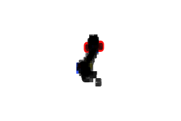 O=C1c2ccccc2C(=O)N1CCCCCCSc1ccnc2cc(C(F)(F)F)ccc12